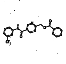 O=C(Nc1cccc(C(F)(F)F)c1)c1ccc(COC(=O)c2ccccc2)nc1